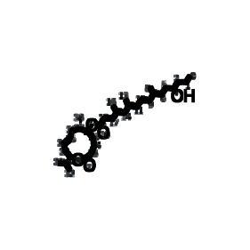 CCC[C@H](O)C/C=C(C)/C=C/C=C(C)/C=C(C)/C=C/C(=O)O[C@H]1CCCC(=O)O[C@@H](C(C)C)C/C=C/C[C@@H]1C